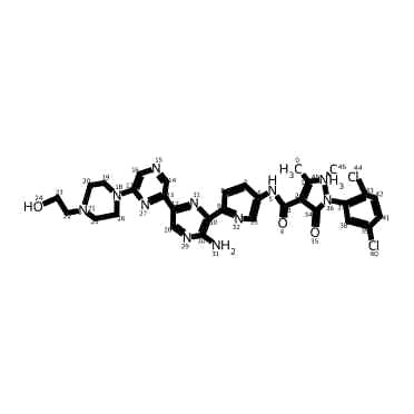 Cc1c(C(=O)Nc2ccc(-c3nc(-c4cncc(N5CCN(CCO)CC5)n4)cnc3N)nc2)c(=O)n(-c2cc(Cl)ccc2Cl)n1C